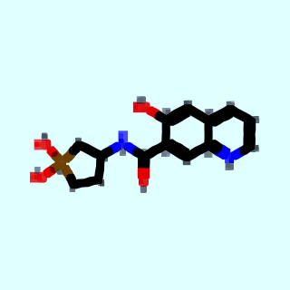 O=C(NC1CCS(O)(O)C1)c1cc2ncccc2cc1O